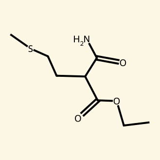 CCOC(=O)C(CCSC)C(N)=O